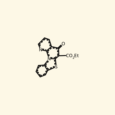 CCOC(=O)c1c(=O)c2cccnc2n2c1sc1ccccc12